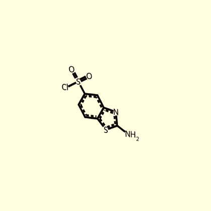 Nc1nc2cc(S(=O)(=O)Cl)ccc2s1